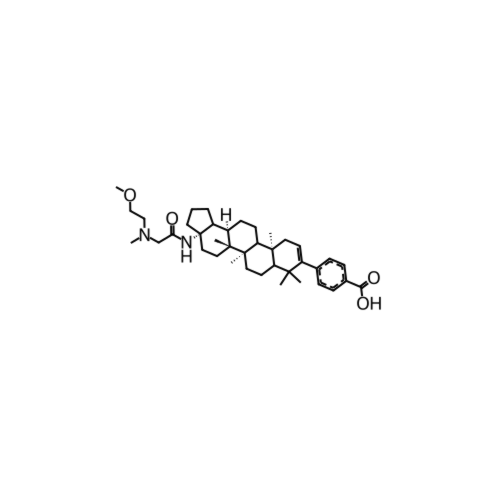 COCCN(C)CC(=O)N[C@]12CCCC1[C@H]1CCC3[C@@]4(C)CC=C(c5ccc(C(=O)O)cc5)C(C)(C)C4CC[C@@]3(C)[C@]1(C)CC2